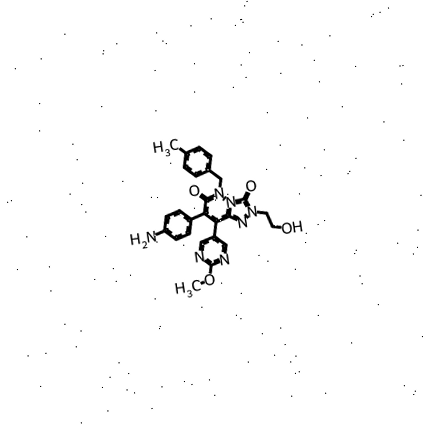 COc1ncc(-c2c(-c3ccc(N)cc3)c(=O)n(Cc3ccc(C)cc3)n3c(=O)n(CCO)nc23)cn1